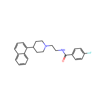 O=C(NCCN1CCC(c2cccc3ccccc23)CC1)c1ccc(F)cc1